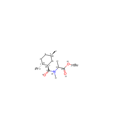 CC(C)[C@@H]1CC[C@@H](C)C[C@H]1C(=O)N(C)C(C)C(=O)OC(C)(C)C